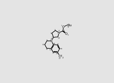 CC(C)(C)OC(=O)N1CCC(N2CCCc3cc(C(F)(F)F)ccc32)C1